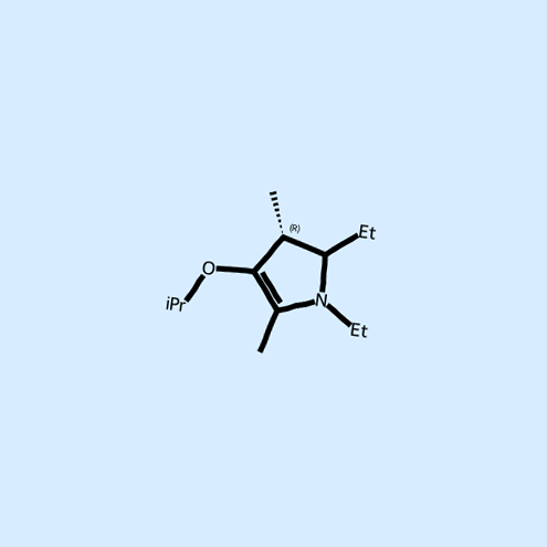 CCC1[C@@H](C)C(OC(C)C)=C(C)N1CC